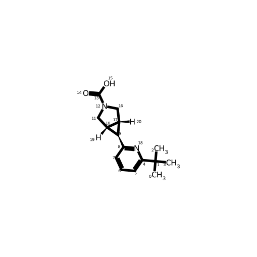 CC(C)(C)c1cccc([C@H]2[C@@H]3CN(C(=O)O)C[C@@H]32)n1